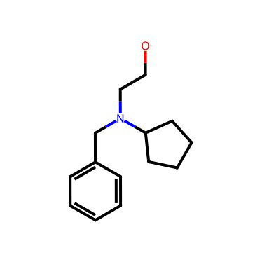 [O]CCN(Cc1ccccc1)C1CCCC1